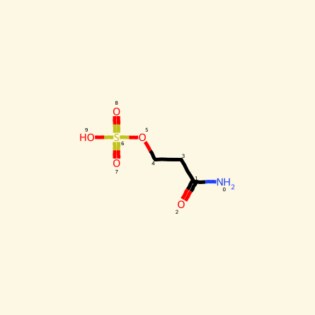 NC(=O)CCOS(=O)(=O)O